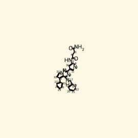 NC(=O)CCC(=O)Nc1cncc(-c2nc(NCc3ccccn3)c3c(-c4ccccc4)ccn3n2)c1